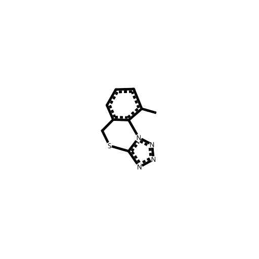 Cc1cccc2c1-n1nnnc1SC2